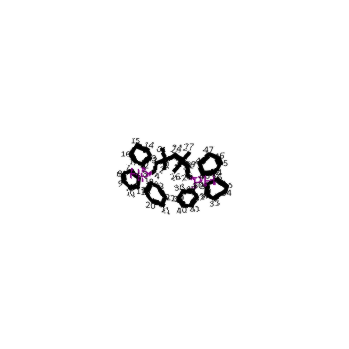 CC(C)(CC[PH](c1ccccc1)(c1ccccc1)c1ccccc1)CC(C)(C)CC[PH](c1ccccc1)(c1ccccc1)c1ccccc1